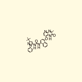 Cc1nc2nccc(Oc3ccc(NC(=O)Nc4cc(C(C)(C)C)nn4-c4ccccc4)c4ccccc34)c2[nH]c1=O